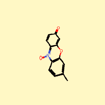 Cc1ccc2c(c1)oc1cc(=O)ccc-1[n+]2[O-]